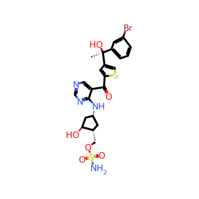 C[C@](O)(c1cccc(Br)c1)c1csc(C(=O)c2cncnc2N[C@@H]2C[C@H](COS(N)(=O)=O)[C@@H](O)C2)c1